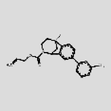 C=CCOC(=O)N1CC[C@@H]2CC1c1cc(-c3cccc(C)c3)ccc12